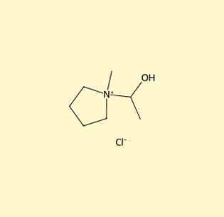 CC(O)[N+]1(C)CCCC1.[Cl-]